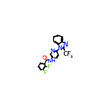 O=C(Nc1ccc(-n2c(C(F)(F)F)nc3ccccc32)nc1)c1cccc(F)c1F